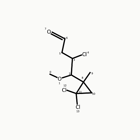 COC(C(Cl)C[C]=O)C1(C)CC1(Cl)Cl